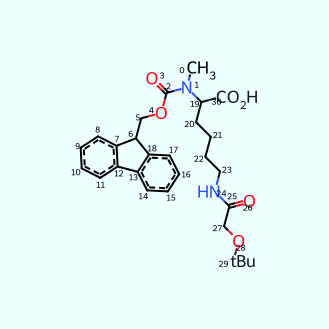 CN(C(=O)OCC1c2ccccc2-c2ccccc21)C(CCCCNC(=O)COC(C)(C)C)C(=O)O